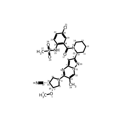 CO[C@H]1CN(c2nc3cc([C@@H]4CCCCN4C(=O)c4cc(Cl)ccc4NS(C)(=O)=O)nn3cc2C)C[C@H]1C#N